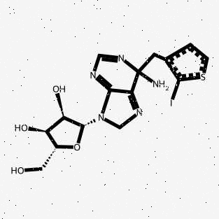 NC1(Cc2ccsc2I)N=CN=C2C1=NCN2[C@@H]1O[C@H](CO)[C@@H](O)[C@H]1O